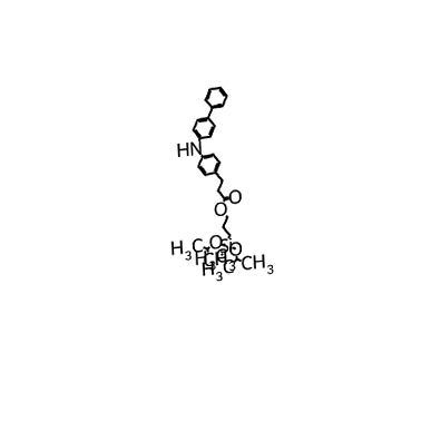 CC(C)O[Si](C)(CCCOC(=O)CCc1ccc(Nc2ccc(-c3ccccc3)cc2)cc1)OC(C)C